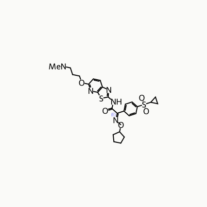 CNCCCOc1ccc2nc(NC(=O)/C(=N/OC3CCCC3)c3ccc(S(=O)(=O)C4CC4)cc3)sc2n1